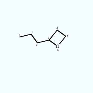 CC[CH]C1CCO1